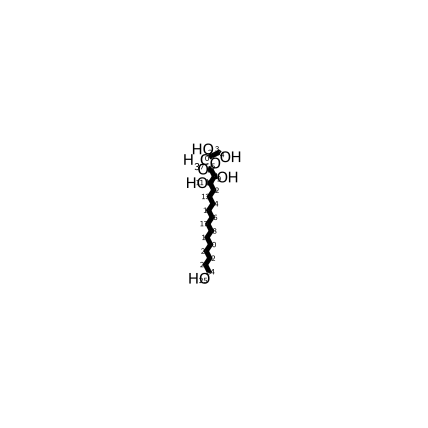 CC(O)(CO)OC(=O)C(O)C(O)CCCCCCCCCCCCCO